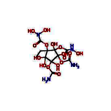 CCC1(OC(=O)N(O)O)C(O)(O)C(O)(OC(N)=O)C(O)(OC(N)=O)C1(O)OC(=O)NO